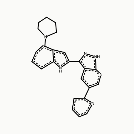 c1ccc(-c2cnc3[nH]nc(-c4cc5c(N6CCCCC6)cccc5[nH]4)c3c2)nc1